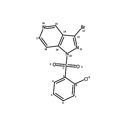 O=S(=O)(c1ccccc1Cl)n1nc(Br)c2cnccc21